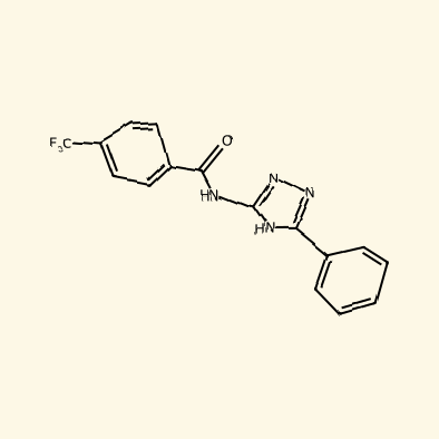 O=C(Nc1nnc(-c2ccccc2)[nH]1)c1ccc(C(F)(F)F)cc1